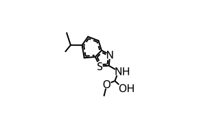 COC(O)Nc1nc2ccc(C(C)C)cc2s1